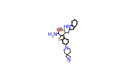 CCCCC(Cc1cc2ccccc2[nH]1)c1c(C(N)=O)sc2cc(N3CCC4(CC3)CN(C)C4)ccc12